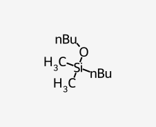 [CH2]CCCO[Si](C)(C)CCCC